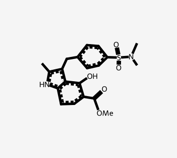 COC(=O)c1ccc2[nH]c(C)c(Cc3ccc(S(=O)(=O)N(C)C)cc3)c2c1O